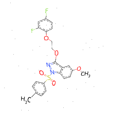 COc1ccc2c(c1)c(OCCOc1ccc(F)cc1F)nn2S(=O)(=O)c1ccc(C)cc1